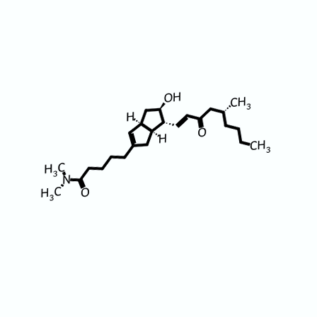 CCCC[C@@H](C)CC(=O)/C=C/[C@@H]1[C@H]2CC(CCCCC(=O)N(C)C)=C[C@H]2C[C@H]1O